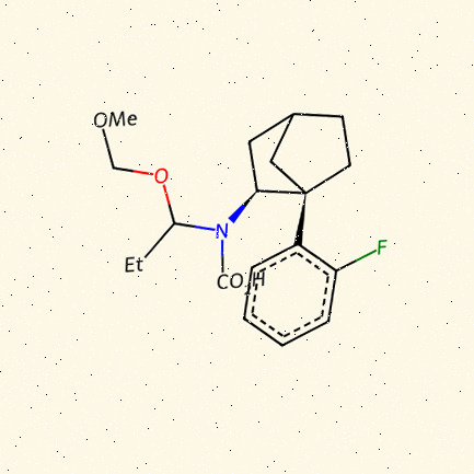 CCC(OCOC)N(C(=O)O)[C@H]1CC2CC[C@@]1(c1ccccc1F)C2